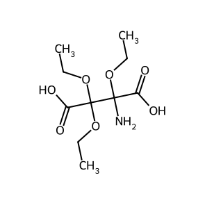 CCOC(N)(C(=O)O)C(OCC)(OCC)C(=O)O